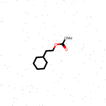 COC(=O)OC[CH]C1CCCCC1